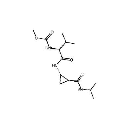 COC(=O)N[C@H](C(=O)N[C@H]1C[C@@H]1C(=O)NC(C)C)C(C)C